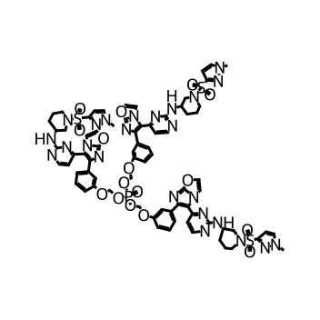 Cn1ccc(S(=O)(=O)N2CCCC(Nc3nccc(-c4c(-c5cccc(OCOP(=O)(OCOc6cccc(-c7nc8occn8c7-c7ccnc(NC8CCCN(S(=O)(=O)c9ccn(C)n9)C8)n7)c6)OCOc6cccc(-c7nc8occn8c7-c7ccnc(NC8CCCN(S(=O)(=O)c9ccn(C)n9)C8)n7)c6)c5)nc5occn45)n3)C2)n1